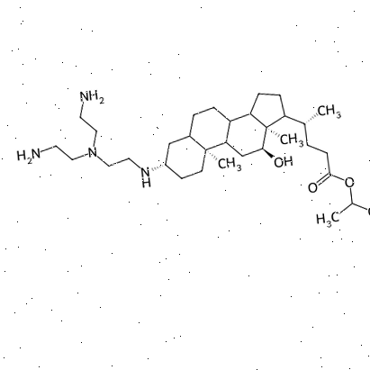 CC(C)OC(=O)CC[C@@H](C)C1CCC2C3CCC4C[C@@H](NCCN(CCN)CCN)CC[C@]4(C)C3C[C@H](O)[C@@]21C